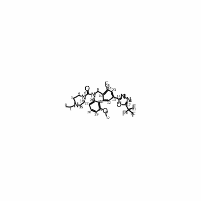 CCN1CCN(C(=O)N(Cc2ccc(-c3nnc(C(F)(F)F)o3)cc2F)c2cccc(OC)c2)CC1